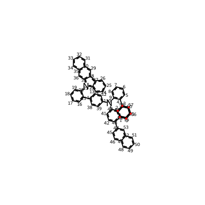 c1ccc(-c2ccccc2N(c2ccc(-c3ccccc3-n3c4ccccc4c4cc5ccccc5cc43)cc2)c2ccc(-c3ccc4ccccc4c3)c3ccccc23)cc1